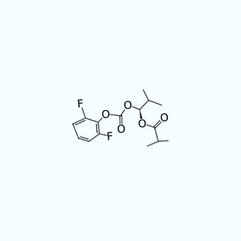 CC(C)C(=O)O[C@@H](OC(=O)Oc1c(F)cccc1F)C(C)C